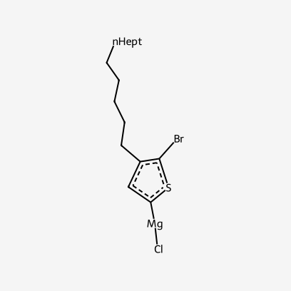 CCCCCCCCCCCCc1c[c]([Mg][Cl])sc1Br